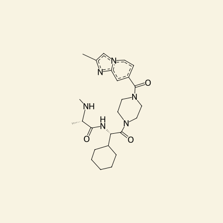 CN[C@@H](C)C(=O)N[C@H](C(=O)N1CCN(C(=O)c2ccn3cc(C)nc3c2)CC1)C1CCCCC1